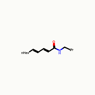 CCCCCC/C=C/C=C/C(=O)NCC(C)C